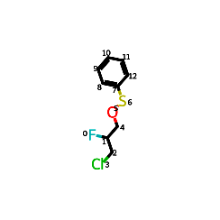 FC(CCl)COSc1ccccc1